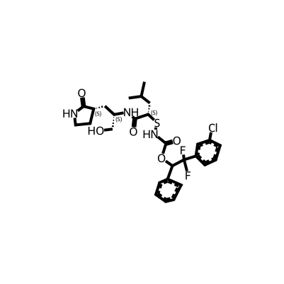 CC(C)C[C@H](SNC(=O)OC(c1ccccc1)C(F)(F)c1cccc(Cl)c1)C(=O)N[C@H](CO)C[C@@H]1CCNC1=O